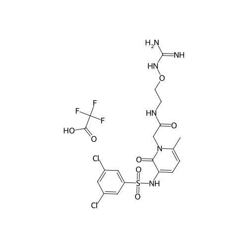 Cc1ccc(NS(=O)(=O)c2cc(Cl)cc(Cl)c2)c(=O)n1CC(=O)NCCONC(=N)N.O=C(O)C(F)(F)F